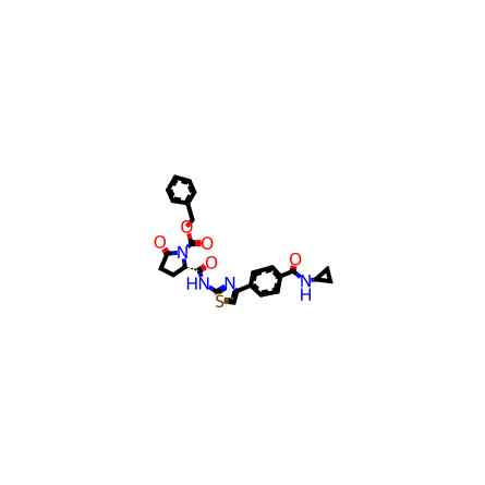 O=C(NC1CC1)c1ccc(-c2csc(NC(=O)[C@@H]3CCC(=O)N3C(=O)OCc3ccccc3)n2)cc1